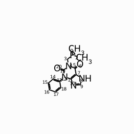 CP(C)Cn1c(=O)c2[nH]cnc2n(-c2ccccc2)c1=O